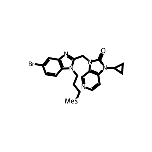 CSCCCn1c(Cn2c(=O)n(C3CC3)c3ccncc32)nc2cc(Br)ccc21